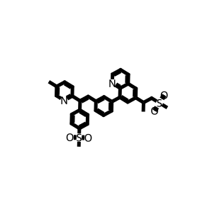 Cc1ccc(/C(=C/c2cccc(-c3cc(C(C)CS(C)(=O)=O)cc4cccnc34)c2)c2ccc(S(C)(=O)=O)cc2)nc1